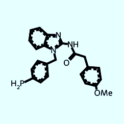 COc1ccc(CC(=O)Nc2nc3ccccc3n2Cc2ccc(P)cc2)cc1